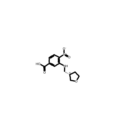 O=C(O)c1ccc([N+](=O)[O-])c(NC[C@@H]2CCOC2)c1